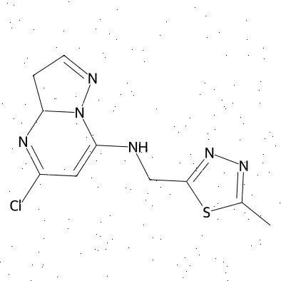 Cc1nnc(CNC2=CC(Cl)=NC3CC=NN23)s1